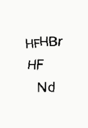 Br.F.F.[Nd]